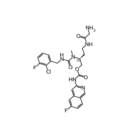 CN(C(=O)NCc1cccc(F)c1Cl)[C@@H](CCNC(=O)CN)COC(=O)Nc1cc2cc(F)ccc2cn1